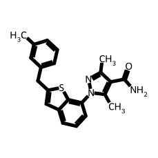 Cc1cccc(Cc2cc3cccc(-n4nc(C)c(C(N)=O)c4C)c3s2)c1